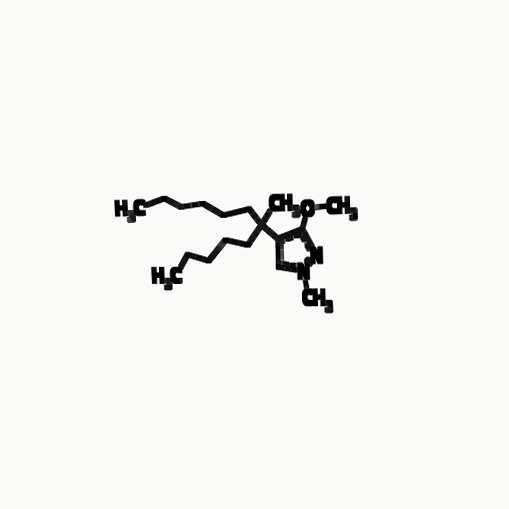 CCCCCCC(C)(CCCCC)c1cn(C)nc1OC